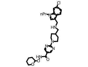 CCCn1cc(CNCC2CCN(c3ncc(C(=O)NOC4CCCCO4)cn3)CC2)c2ccc(Cl)cc21